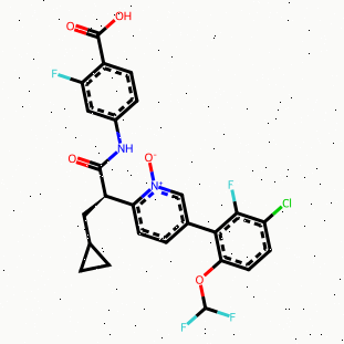 O=C(O)c1ccc(NC(=O)[C@H](CC2CC2)c2ccc(-c3c(OC(F)F)ccc(Cl)c3F)c[n+]2[O-])cc1F